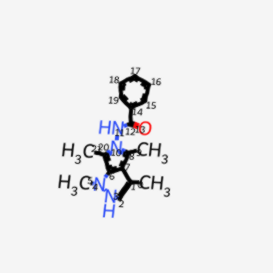 CC1=CNN(C)c2c1c(C)n(NC(=O)c1ccccc1)c2C